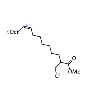 CCCCCCCC/C=C\CCCCCCC(CCl)C(=O)OC